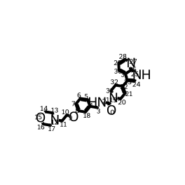 O=C(NCc1cccc(OCCN2CCOCC2)c1)N1CC=C(c2c[nH]c3ncccc23)CC1